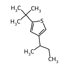 CCC(C)c1csc(C(C)(C)C)c1